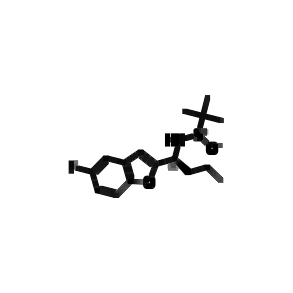 CCC[C@H](N[S+]([O-])C(C)(C)C)c1cc2cc(F)ccc2o1